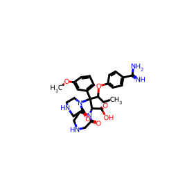 CCC(Oc1ccc(C(=N)N)cc1)C(c1cccc(OC)c1)(C(C(=O)O)N1CCNCC1=O)N1CCNCC1=O